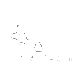 N#Cc1cc(Nc2nc(NC3CC3)c3ncc(C#N)n3n2)c(Cl)cc1CCCN1CC(O)C1